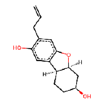 C=CCc1cc2c(cc1O)[C@@H]1CC[C@H](O)C[C@@H]1O2